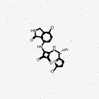 CCC[C@@H](Nc1c(Nc2ccc(Cl)c3c2C(=O)NC3)c(=O)c1=O)c1ccc(Cl)o1